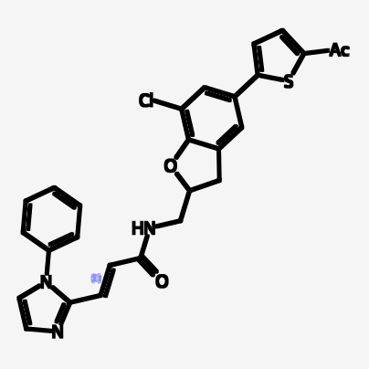 CC(=O)c1ccc(-c2cc(Cl)c3c(c2)CC(CNC(=O)/C=C/c2nccn2-c2ccccc2)O3)s1